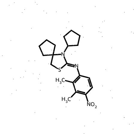 Cc1c(N=C2SCC3(CCCC3)N2C2CCCC2)ccc([N+](=O)[O-])c1C